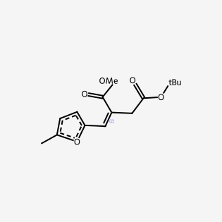 COC(=O)/C(=C\c1ccc(C)o1)CC(=O)OC(C)(C)C